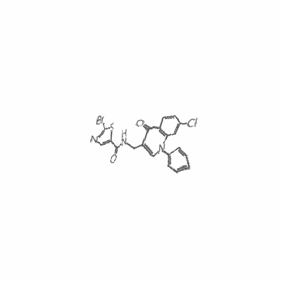 O=C(NCc1cn(-c2ccccc2)c2cc(Cl)ccc2c1=O)c1cnc(Br)s1